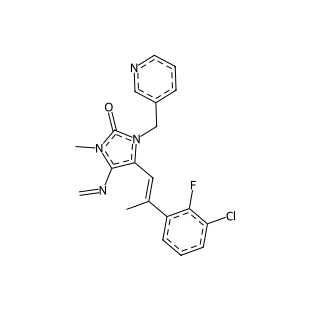 C=Nc1c(/C=C(\C)c2cccc(Cl)c2F)n(Cc2cccnc2)c(=O)n1C